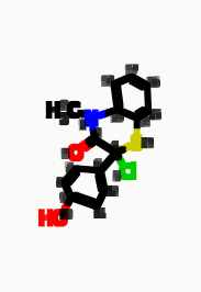 CN1C(=O)C(Cl)(c2ccc(O)cc2)Sc2ccccc21